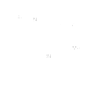 CS/C(Nc1cccc(I)c1)=C1/CN(C(C)=O)CCC1=O